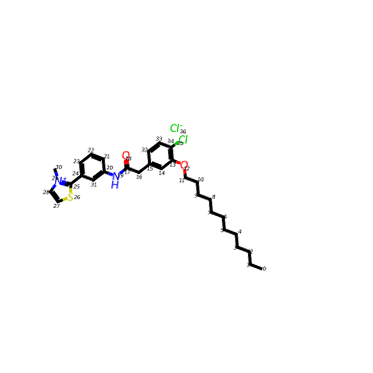 CCCCCCCCCCCCOc1cc(CC(=O)Nc2cccc(-c3scc[n+]3C)c2)ccc1Cl.[Cl-]